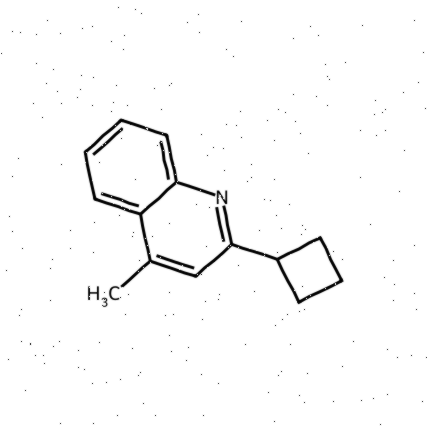 Cc1cc(C2CCC2)nc2ccccc12